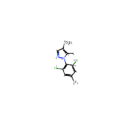 CCOC(=O)c1cnn(-c2c(Cl)cc(C(F)(F)F)cc2Cl)c1C